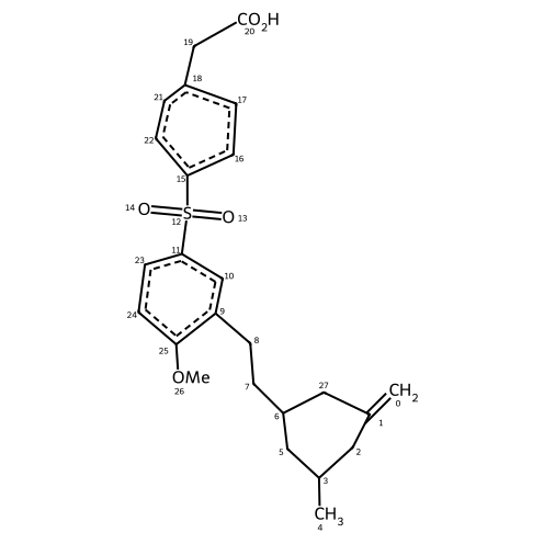 C=C1CC(C)CC(CCc2cc(S(=O)(=O)c3ccc(CC(=O)O)cc3)ccc2OC)C1